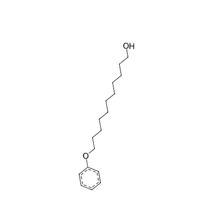 OCCCCCCCCCCCOc1ccccc1